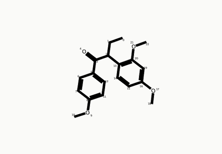 CCC(C(=O)c1ccc(OC)cc1)c1ccc(OC)cc1OC